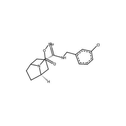 CC(C)(C)OC(=O)N1C2CC[C@@H]1C[C@@H](C(=O)NCc1cccc(Cl)c1)C2